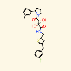 Cc1cccc(C2CCCN2C(=O)[C@H](O)[C@@H](O)C(=O)NCC2CC(Cc3cccc(F)c3)=CS2)c1